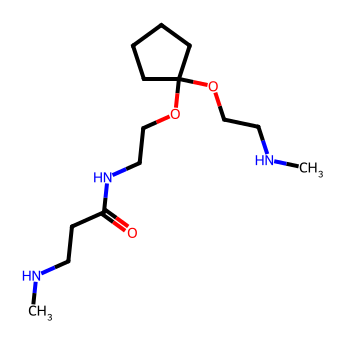 CNCCOC1(OCCNC(=O)CCNC)CCCC1